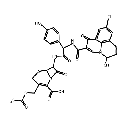 CC(=O)OCC1=C(C(=O)O)N2C(=O)C(NC(=O)C(NC(=O)c3cn4c5c(cc(Cl)cc5c3=O)CCC4C)c3ccc(O)cc3)C2SC1